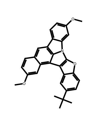 COc1ccc2cc3c4ccc(OC)cc4n4c5oc6ccc(C(C)(C)C)cc6c5c(c2c1)c34